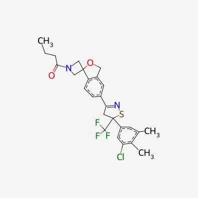 CCCC(=O)N1CC2(C1)OCc1cc(C3=NSC(c4cc(C)c(C)c(Cl)c4)(C(F)(F)F)C3)ccc12